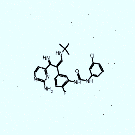 CC(C)(C)N/C=C(\C(=N)c1ccnc(N)n1)c1ccc(F)c(NC(=O)Nc2cccc(Cl)c2)c1